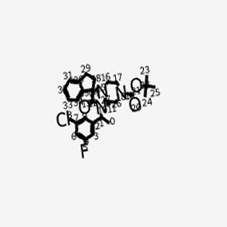 CC(c1cc(F)cc(Cl)c1)N(C)C(=O)[C@@]1(N2CCN(C(=O)OC(C)(C)C)CC2)CCc2ccccc21